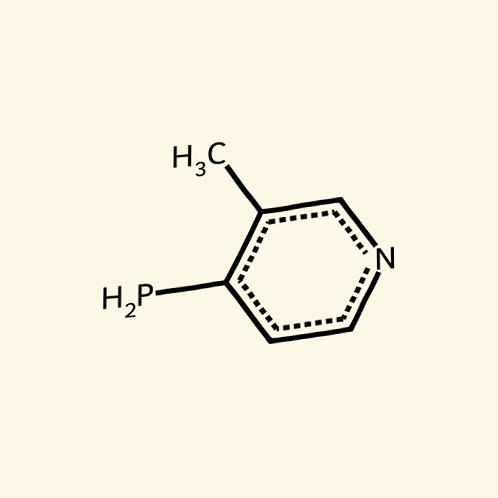 Cc1cnccc1P